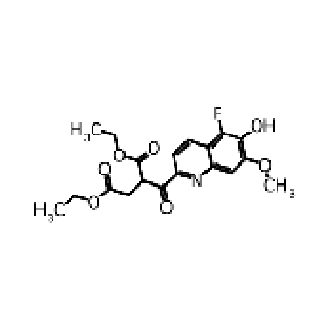 CCOC(=O)CC(C(=O)OCC)C(=O)c1ccc2c(F)c(O)c(OC)cc2n1